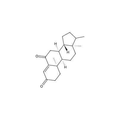 CC1CC[C@H]2[C@@H]3CC(=O)C4=CC(=O)CC[C@]4(C)[C@@H]3CC[C@]12C